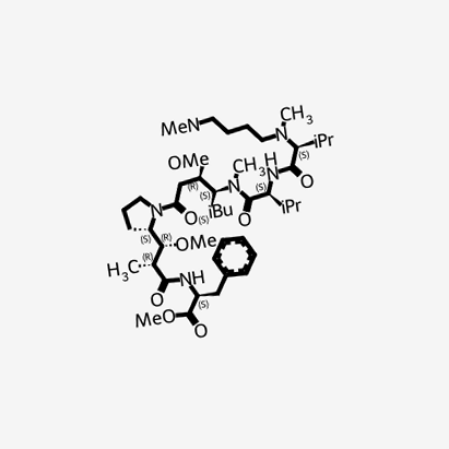 CC[C@H](C)[C@@H]([C@@H](CC(=O)N1CCC[C@H]1[C@H](OC)[C@@H](C)C(=O)N[C@@H](Cc1ccccc1)C(=O)OC)OC)N(C)C(=O)[C@@H](NC(=O)[C@H](C(C)C)N(C)CCCCNC)C(C)C